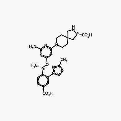 Cc1ccn(-c2cc(C(=O)O)ccc2[C@@H](Oc2cc(N3CCC4(CC3)CN[C@H](C(=O)O)C4)nc(N)n2)C(F)(F)F)n1